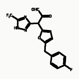 O=CC(=O)C(c1n[nH]c(C(F)(F)F)n1)c1ccc(Cc2ccc(F)cc2)o1